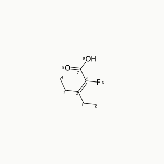 CCC(CC)=C(F)C(=O)O